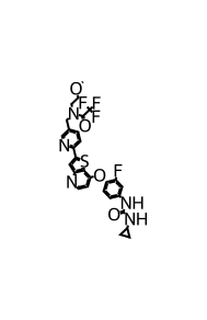 COCCN(Cc1ccc(-c2cc3nccc(Oc4ccc(NC(=O)NC5CC5)cc4F)c3s2)nc1)C(=O)C(F)(F)F